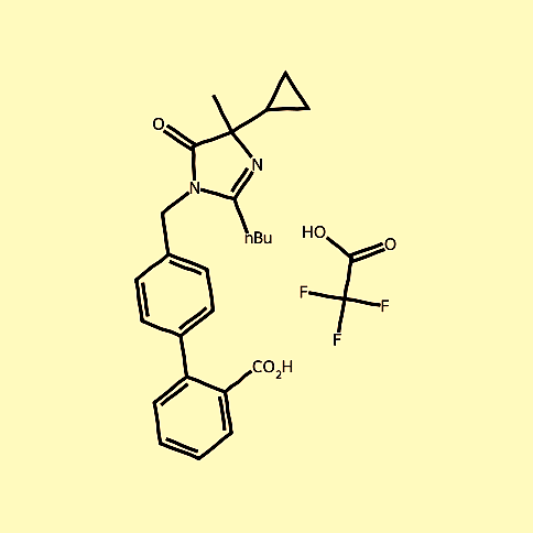 CCCCC1=NC(C)(C2CC2)C(=O)N1Cc1ccc(-c2ccccc2C(=O)O)cc1.O=C(O)C(F)(F)F